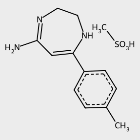 CS(=O)(=O)O.Cc1ccc(C2=CC(N)=NCCN2)cc1